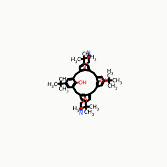 CC(C)(C)c1cc2c(O)c(c1)Cc1cc(C(C)(C)C)cc(c1OCC#N)Cc1cc(C(C)(C)C)cc(c1O)Cc1cc(C(C)(C)C)cc(c1OCC#N)C2